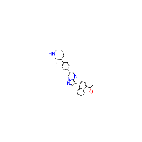 CC(=O)c1ccc(-c2cnn3cc(-c4ccc(C5CC[C@@H](C)CNC[C@H]5C)cc4)cnc23)c2ccccc12